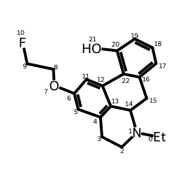 CCN1CCc2cc(OCCF)cc3c2C1Cc1cccc(O)c1-3